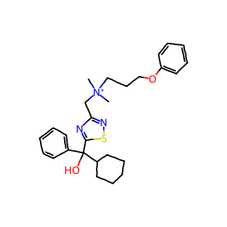 C[N+](C)(CCCOc1ccccc1)Cc1nsc(C(O)(c2ccccc2)C2CCCCC2)n1